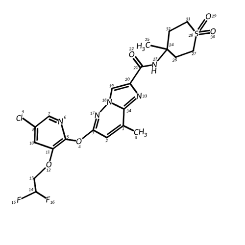 Cc1cc(Oc2ncc(Cl)cc2OCC(F)F)nn2cc(C(=O)NC3(C)CCS(=O)(=O)CC3)nc12